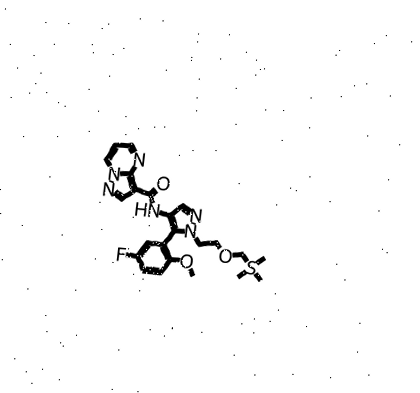 COc1ccc(F)cc1-c1c(NC(=O)c2cnn3cccnc23)cnn1CCOCS(C)(C)C